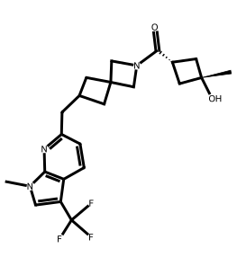 Cn1cc(C(F)(F)F)c2ccc(CC3CC4(C3)CN(C(=O)[C@H]3C[C@@](C)(O)C3)C4)nc21